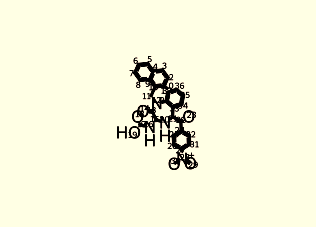 Cc1ccc2ccccc2c1CN1C(=O)C(NC(=O)O)NC(C(=O)c2ccc([N+](=O)[O-])cc2)c2ccccc21